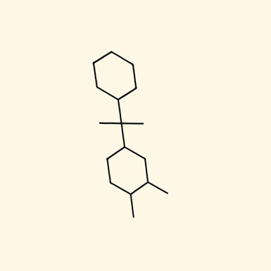 CC1CCC(C(C)(C)C2CCCCC2)CC1C